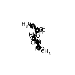 COc1cncc(-c2cn(-c3cc(NC(=O)c4cc(OC(F)(F)F)cc(N5CCN(C)CC5)c4)cnc3C)nn2)c1